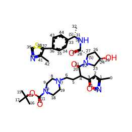 Cc1cc(C(CCN2CCN(C(=O)OC(C)(C)C)CC2)C(=O)N2C[C@H](O)C[C@H]2C(=O)N[C@@H](C)c2ccc(-c3scnc3C)cc2)on1